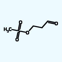 CS(=O)(=O)OCCC=O